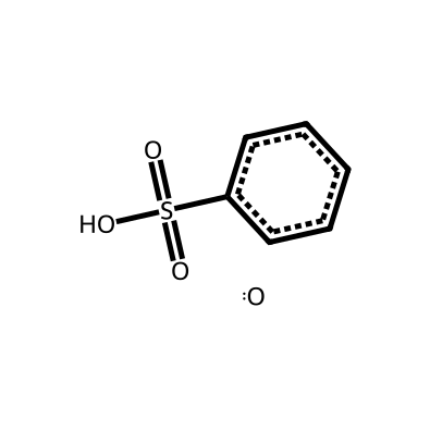 O=S(=O)(O)c1ccccc1.[O]